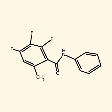 Cc1cc(F)c(F)c(F)c1C(=O)Nc1ccccc1